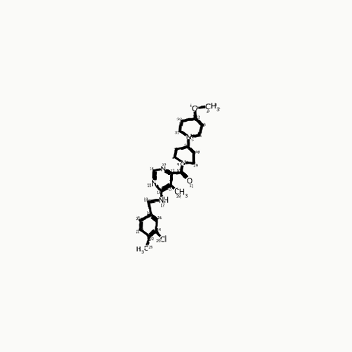 COC1CCN(C2CCN(C(=O)c3ncnc(NCc4ccc(C)c(Cl)c4)c3C)CC2)CC1